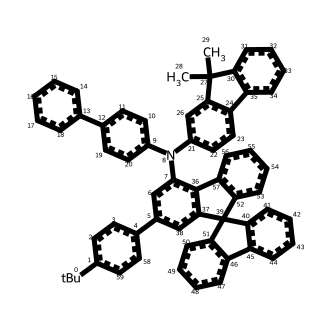 CC(C)(C)c1ccc(-c2cc(N(c3ccc(-c4ccccc4)cc3)c3ccc4c(c3)C(C)(C)c3ccccc3-4)c3c(c2)C2(c4ccccc4-c4ccccc42)c2ccccc2-3)cc1